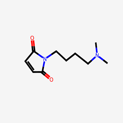 CN(C)CCCCN1C(=O)C=CC1=O